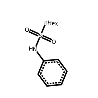 CCCCCCS(=O)(=O)Nc1cc[c]cc1